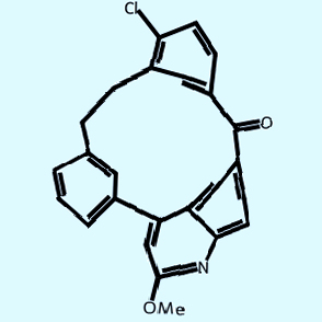 COc1cc2c3cc(ccc3n1)C(=O)c1ccc(Cl)c(c1)CCc1cccc-2c1